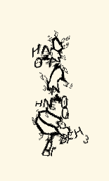 CCOC(=O)C(Cc1ccc(Br)c(Br)c1)NC(=O)N1CCC(N2Cc3ccccc3NC2=O)CC1